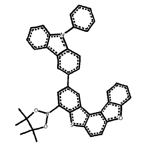 CC1(C)OB(c2cc(-c3ccc4c(c3)c3ccccc3n4-c3ccccc3)cc3c2sc2ccc4oc5ccccc5c4c23)OC1(C)C